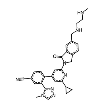 CNCCNCc1ccc2c(c1)C(=O)N(c1cc(-c3ccc(C#N)cc3-c3nncn3C)cc(C3CC3)n1)C2